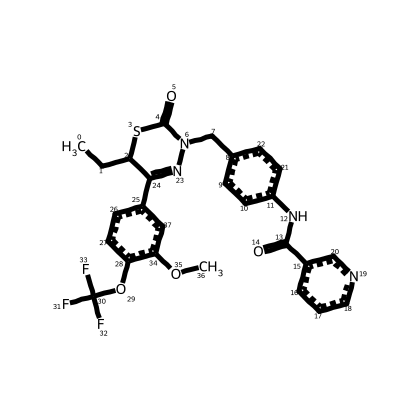 CCC1SC(=O)N(Cc2ccc(NC(=O)c3cccnc3)cc2)N=C1c1ccc(OC(F)(F)F)c(OC)c1